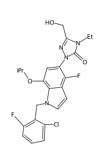 CCn1c(CO)nn(-c2cc(OC(C)C)c3c(ccn3Cc3c(F)cccc3Cl)c2F)c1=O